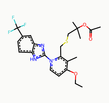 CCOc1cc[n+](-c2nc3cc(C(F)(F)F)ccc3[nH]2)c(CSCC(C)(C)OC(C)=O)c1C